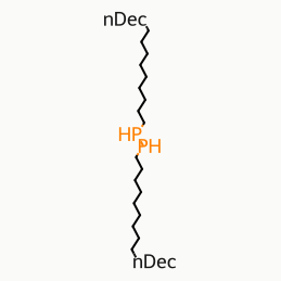 CCCCCCCCCCCCCCCCCCCPPCCCCCCCCCCCCCCCCCCC